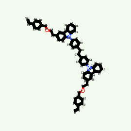 C=Cc1ccc(COCCc2ccc3c(c2)c2ccccc2n3-c2ccc(CCc3ccc(-n4c5ccccc5c5cc(CCOCc6ccc(C=C)cc6)ccc54)cc3)cc2)cc1